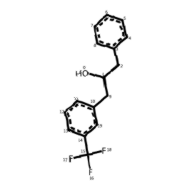 OC(Cc1ccccc1)Cc1cccc(C(F)(F)F)c1